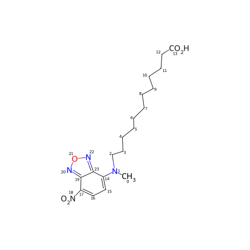 CN(CCCCCCCCCCCC(=O)O)c1ccc([N+](=O)[O-])c2nonc12